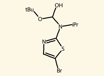 CC(C)N(c1ncc(Br)s1)C(O)OC(C)(C)C